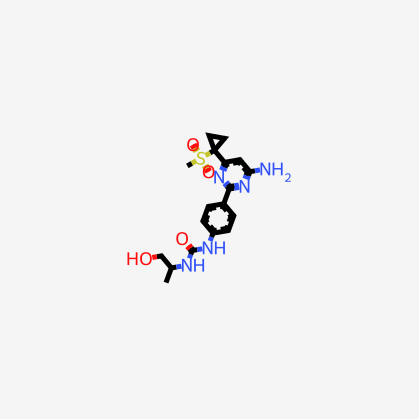 CC(CO)NC(=O)Nc1ccc(-c2nc(N)cc(C3(S(C)(=O)=O)CC3)n2)cc1